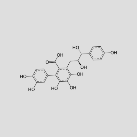 O=C(O)c1c(C[C@H](O)[C@H](O)c2ccc(O)cc2)c(O)c(O)c(O)c1-c1ccc(O)c(O)c1